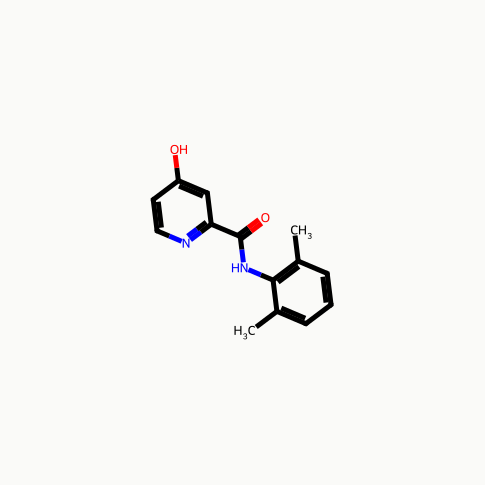 Cc1cccc(C)c1NC(=O)c1cc(O)ccn1